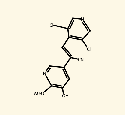 COc1ncc(C(C#N)=Cc2c(Cl)cncc2Cl)cc1O